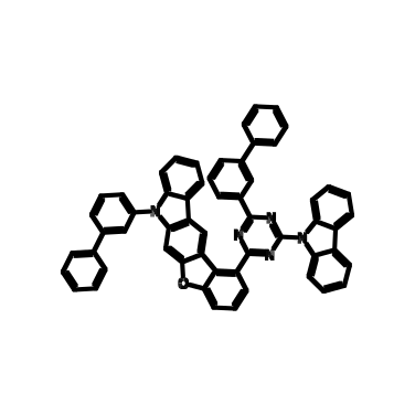 c1ccc(-c2cccc(-c3nc(-c4cccc5oc6cc7c(cc6c45)c4ccccc4n7-c4cccc(-c5ccccc5)c4)nc(-n4c5ccccc5c5ccccc54)n3)c2)cc1